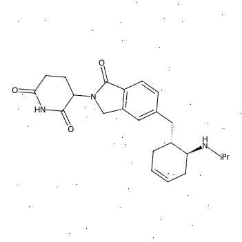 CC(C)N[C@H]1CC=CC[C@@H]1Cc1ccc2c(c1)CN(C1CCC(=O)NC1=O)C2=O